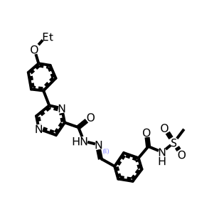 CCOc1ccc(-c2cncc(C(=O)N/N=C/c3cccc(C(=O)NS(C)(=O)=O)c3)n2)cc1